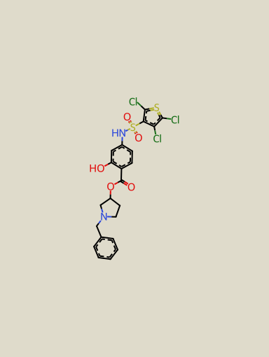 O=C(OC1CCN(Cc2ccccc2)C1)c1ccc(NS(=O)(=O)c2c(Cl)sc(Cl)c2Cl)cc1O